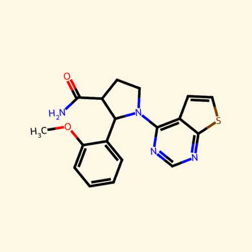 COc1ccccc1C1C(C(N)=O)CCN1c1ncnc2sccc12